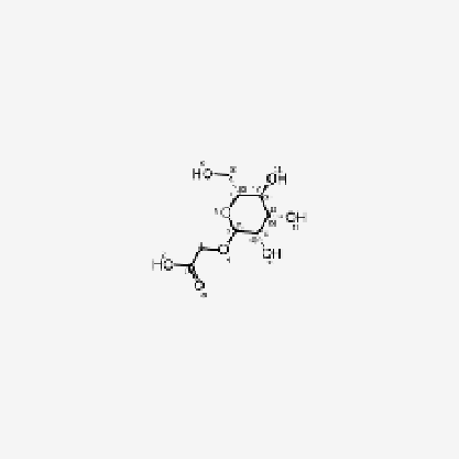 O=C(O)CO[C@H]1O[C@H](CO)[C@@H](O)[C@H](O)[C@@H]1O